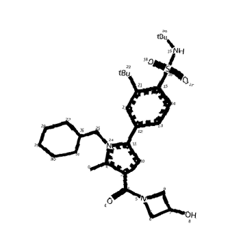 Cc1c(C(=O)N2CC(O)C2)cc(-c2ccc(S(=O)(=O)NC(C)(C)C)c(C(C)(C)C)c2)n1CC1CCCCC1